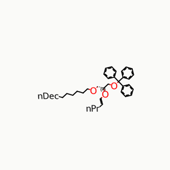 CCCC=CO[C@H](COCCCCCCCCCCCCCCCC)COC(c1ccccc1)(c1ccccc1)c1ccccc1